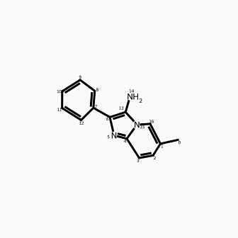 Cc1ccc2nc(-c3ccccc3)c(N)n2c1